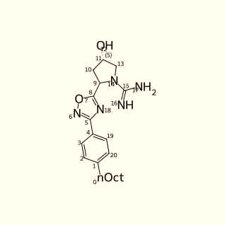 CCCCCCCCc1ccc(-c2noc(C3C[C@H](O)CN3C(=N)N)n2)cc1